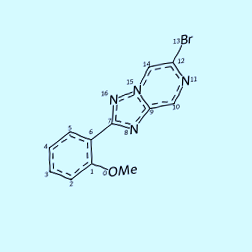 COc1ccc[c]c1-c1nc2cnc(Br)cn2n1